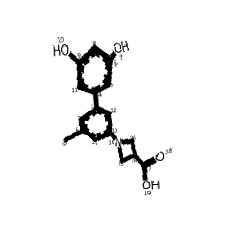 Cc1cc(-c2cc(O)cc(O)c2)cc(N2CC(C(=O)O)C2)c1